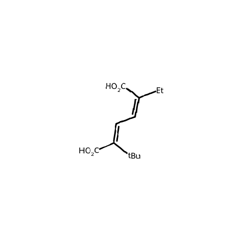 CCC(=CC=C(C(=O)O)C(C)(C)C)C(=O)O